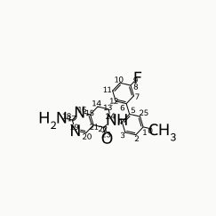 Cc1cccc(-c2cc(F)ccc2[C@H]2Cc3nc(N)ncc3C(=O)N2)c1